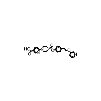 O=C(O)c1ccc(N2CCN(C(=O)Oc3ccc(CCOc4cccnc4)cc3)CC2)nc1